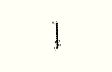 CCC=CCC=CCC=CCC=CCC=CCCCC(=O)NCCNCCN